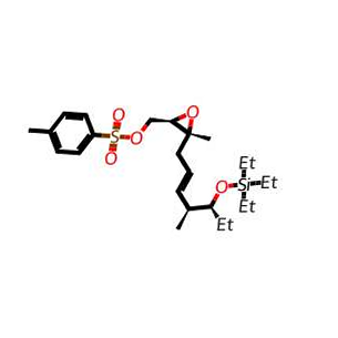 CC[C@H](O[Si](CC)(CC)CC)[C@@H](C)/C=C/C[C@@]1(C)O[C@@H]1COS(=O)(=O)c1ccc(C)cc1